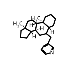 C[C@@]12CCC[C@H]1[C@@H]1CC(Cc3cccnc3)[C@H]3CCCC[C@]3(C)[C@H]1CC2